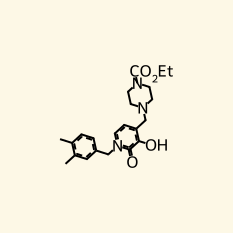 CCOC(=O)N1CCN(Cc2ccn(Cc3ccc(C)c(C)c3)c(=O)c2O)CC1